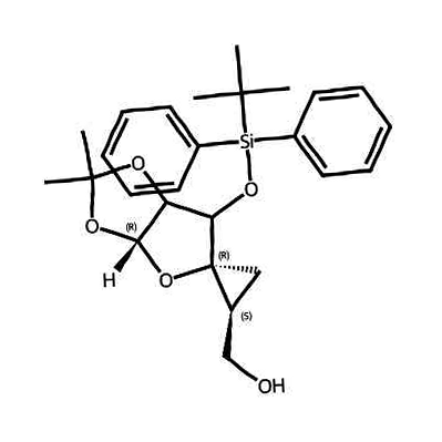 CC1(C)OC2C(O[Si](c3ccccc3)(c3ccccc3)C(C)(C)C)[C@]3(C[C@H]3CO)O[C@@H]2O1